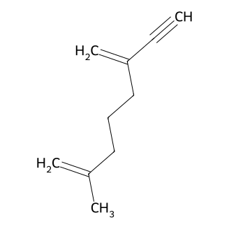 C#CC(=C)CCCC(=C)C